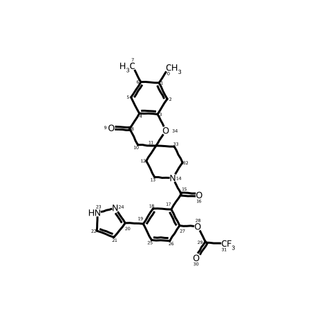 Cc1cc2c(cc1C)C(=O)CC1(CCN(C(=O)c3cc(-c4cc[nH]n4)ccc3OC(=O)C(F)(F)F)CC1)O2